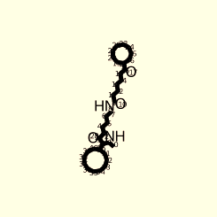 CC1NC(CCCCNC(=O)CCCCCC(=O)C2CCCCCCCC2)C(=O)C1C1CCCCCCCCCC1